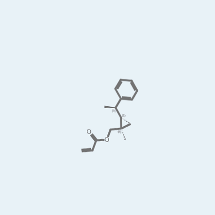 C=CC(=O)OC[C@]1(C)C[C@H]1[C@@H](C)c1ccccc1